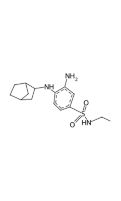 CCNS(=O)(=O)c1ccc(NC2CC3CCC2C3)c(N)c1